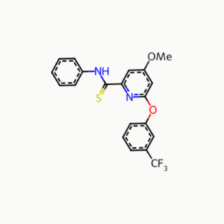 COc1cc(Oc2cccc(C(F)(F)F)c2)nc(C(=S)Nc2ccccc2)c1